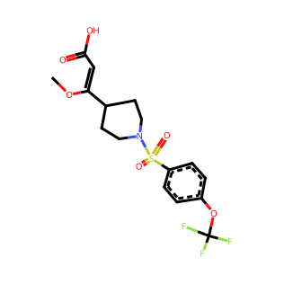 COC(=CC(=O)O)C1CCN(S(=O)(=O)c2ccc(OC(F)(F)F)cc2)CC1